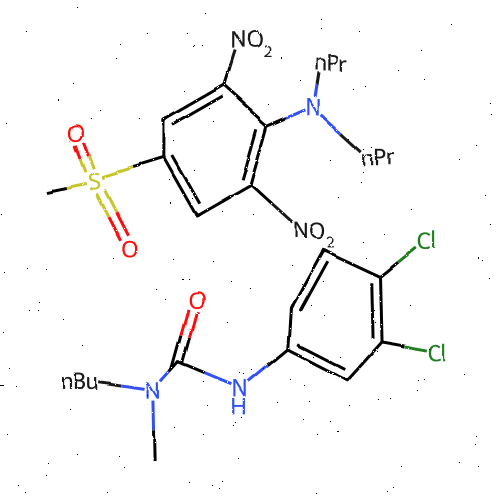 CCCCN(C)C(=O)Nc1ccc(Cl)c(Cl)c1.CCCN(CCC)c1c([N+](=O)[O-])cc(S(C)(=O)=O)cc1[N+](=O)[O-]